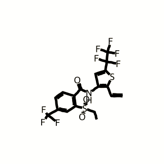 C=Cc1sc(C(F)(F)C(F)(F)F)cc1NC(=O)c1ccc(C(F)(F)F)cc1S(=O)(=O)CC